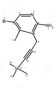 Cc1c(Br)cnc(N)c1CC#C[Si](C)(C)C